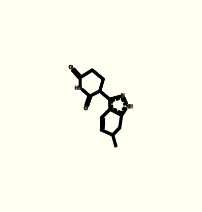 CC1C=Cc2c(C3CCC(=O)NC3=O)n[nH]c2C1